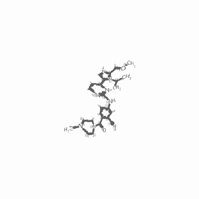 COCc1ncc(-c2ccnc(Nc3ccc(C(=O)N4CCN(C)CC4)c(C#N)c3)n2)n1C(C)C